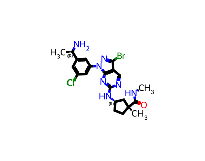 CNC(=O)[C@]1(C)CC[C@@H](Nc2ncc3c(Br)nn(-c4cc(Cl)cc([C@@H](C)N)c4)c3n2)C1